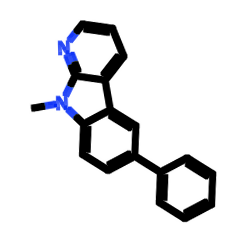 Cn1c2ccc(-c3ccccc3)cc2c2cccnc21